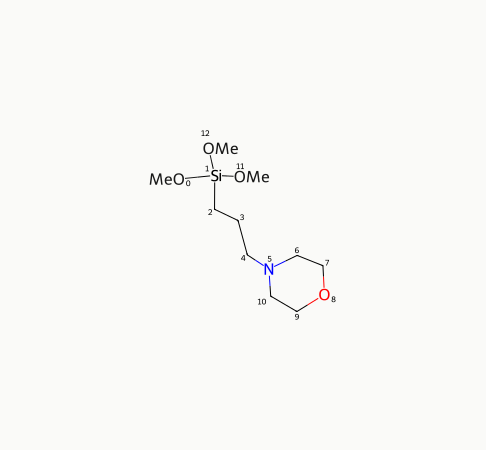 CO[Si](CCCN1CCOCC1)(OC)OC